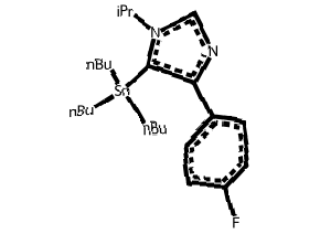 CCC[CH2][Sn]([CH2]CCC)([CH2]CCC)[c]1c(-c2ccc(F)cc2)ncn1C(C)C